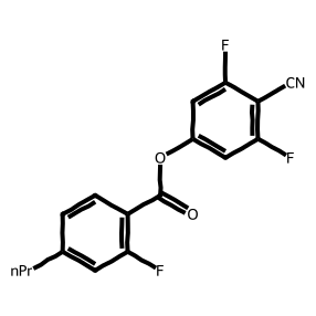 CCCc1ccc(C(=O)Oc2cc(F)c(C#N)c(F)c2)c(F)c1